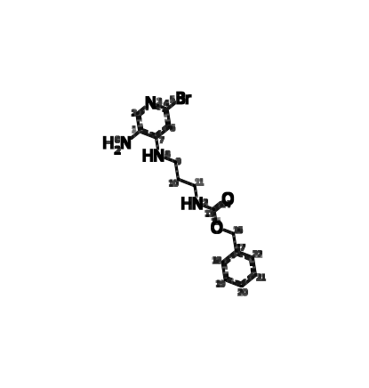 Nc1cnc(Br)cc1NCCCNC(=O)OCc1ccccc1